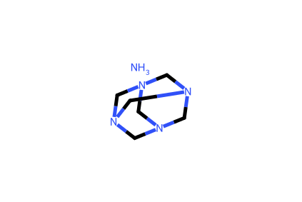 C1N2CN3CN1CN(C2)C3.N